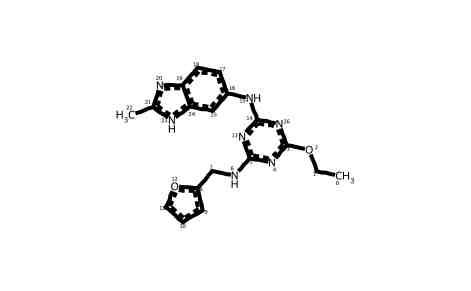 CCOc1nc(NCc2ccco2)nc(Nc2ccc3nc(C)[nH]c3c2)n1